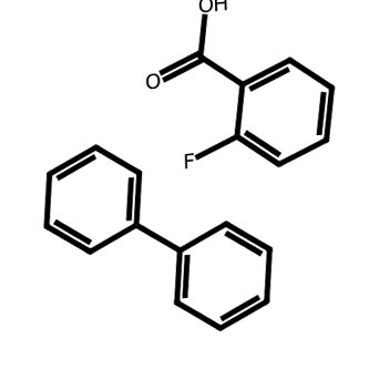 O=C(O)c1ccccc1F.c1ccc(-c2ccccc2)cc1